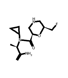 C=C(N)[C@@H](C)N(C(=O)[C@H]1CNC[C@@H](CF)O1)C1CC1